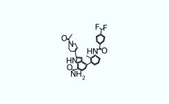 CC(=O)N1CC=C(c2cc3c(-c4cccc(NC(=O)c5ccc(C(F)F)cc5)c4C)ccc(C(N)=O)c3[nH]2)CC1